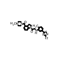 CCc1nsc(-c2ccc(C)c(NCC(=O)N3CCc4c(C(=O)N5CCN(C)CC5)cccc43)c2)n1